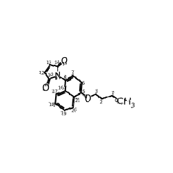 CCCCOc1ccc(N2C(=O)C=CC2=O)c2ccccc12